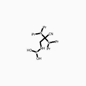 CC(C)N(C(C)C)C(C#N)(CNP(O)O)N(C(C)C)C(C)C